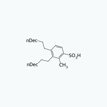 CCCCCCCCCCCCc1ccc(S(=O)(=O)O)c(C)c1CCCCCCCCCCCC